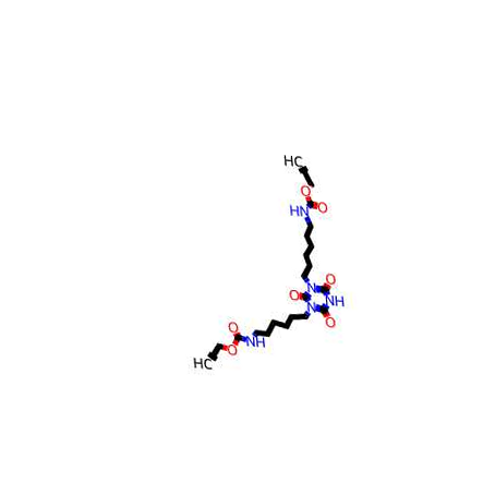 C#CCOC(=O)NCCCCCCn1c(=O)[nH]c(=O)n(CCCCCCNC(=O)OCC#C)c1=O